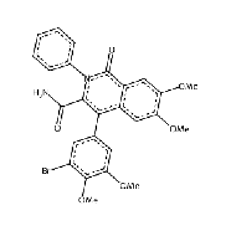 COc1cc2c(-c3cc(Br)c(OC)c(OC)c3)c(C(N)=O)n(-c3ccccc3)c(=O)c2cc1OC